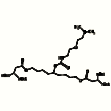 CCCCCCCCC(CCCCCCCC)CC(=O)OCCCCC(CCCCOC(=O)CC(CCCCCCCC)CCCCCCCC)OC(=O)NCCOCCN(C)C